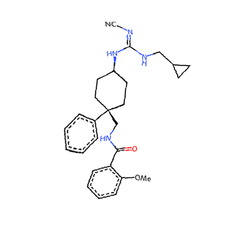 COc1ccccc1C(=O)NC[C@]1(c2ccccc2)CC[C@H](N/C(=N\C#N)NCC2CC2)CC1